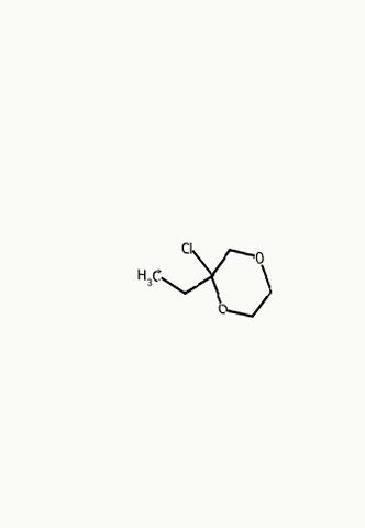 CCC1(Cl)COCCO1